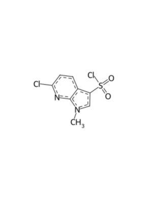 Cn1cc(S(=O)(=O)Cl)c2ccc(Cl)nc21